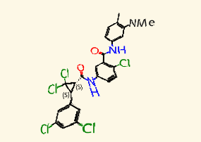 CNc1cc(NC(=O)c2cc(NC(=O)[C@@H]3[C@@H](c4cc(Cl)cc(Cl)c4)C3(Cl)Cl)ccc2Cl)ccc1C